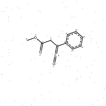 COC(=O)CC(=C=O)c1ccccc1